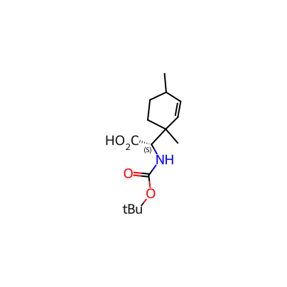 CC1C=CC(C)([C@H](NC(=O)OC(C)(C)C)C(=O)O)CC1